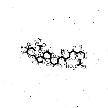 CC[C@@H](C(=O)[C@@H](C)[C@@H](O)[C@H](C)[C@@H]1O[C@@H]([C@@H](CC)C(=O)O)CC[C@@H]1C)[C@H]1O[C@]2(C=C[C@@H](OC(=O)OC(C)C)[C@]3(CC[C@@](C)([C@H]4CC[C@](O)(CC)[C@H](C)O4)O3)O2)[C@H](C)C[C@@H]1C